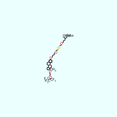 COCC(CCCOCCSSCCOCCCCOc1ccc2c(c1)CCC1C2CCC2(C)C(OCCCOC(C(F)(F)F)(C(F)(F)F)C(F)(F)F)CCC12)COC